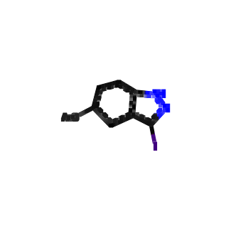 CC(=O)Oc1ccc2[nH]nc(I)c2c1